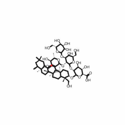 CC1CC(C)(C)CC2C3=CCC4[C@@]5(C)CC[C@H](OC6O[C@H](C(=O)O)[C@@H](O)[C@H](O)[C@H]6OC6O[C@H](CO)[C@H](O)[C@H](OC7O[C@H](CO)[C@@H](O)[C@H](O)[C@H]7O)[C@H]6OC6O[C@@H](C)[C@H](O)[C@@H](O)[C@H]6O)[C@](C)(CO)C5CC[C@@]4(C)[C@]3(C)CC[C@@]12C